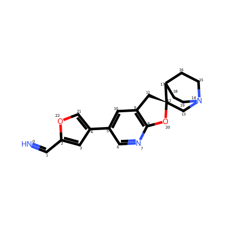 N=Cc1cc(-c2cnc3c(c2)C[C@@]2(CN4CCC2CC4)O3)co1